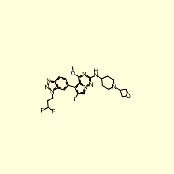 COc1nc(NC2CCN(C3COC3)CC2)nn2cc(F)c(-c3ccc4nnn(CCC(F)F)c4c3)c12